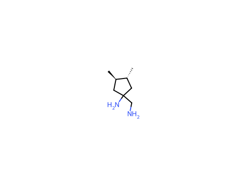 C[C@@H]1CC(N)(CN)C[C@H]1C